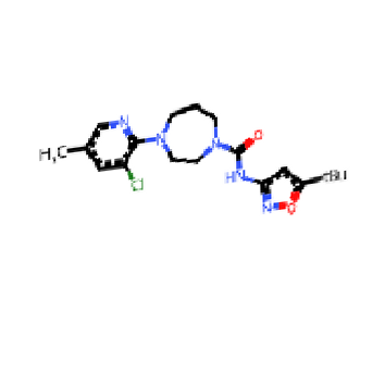 Cc1cnc(N2CCCN(C(=O)Nc3cc(C(C)(C)C)on3)CC2)c(Cl)c1